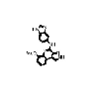 COc1cccc2c1nc(Nc1ccc3[nH]cnc3c1)c1n[nH]cc12